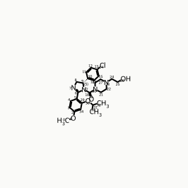 COc1ccc(C2=NC[C@H](c3ccc(Cl)cc3)N2C(=O)N2CCN(CCO)CC2)c(OC(C)C)c1